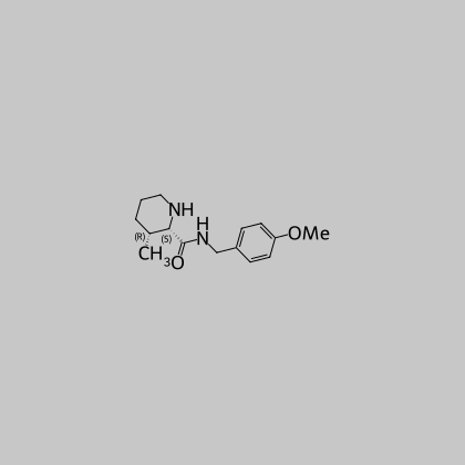 COc1ccc(CNC(=O)[C@H]2NCCC[C@H]2C)cc1